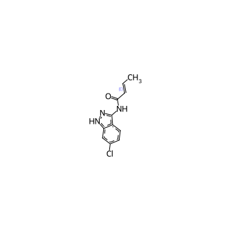 C/C=C/C(=O)Nc1n[nH]c2cc(Cl)ccc12